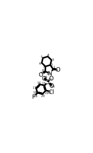 O=C1C2CCCCC2C(=O)N1OS(=O)(=O)c1ccc(F)cc1Cl